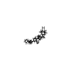 COc1cc(-c2cnn(C3CCCC3)c2)cc(C)c1-c1ccc(N(C)C2CC(C)(C)NC(C)(C)C2)nn1